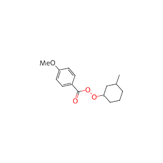 COc1ccc(C(=O)OO[C]2CCCC(C)C2)cc1